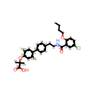 CCCCOc1ccc(Cl)cc1C(=O)NCCc1ccc(-c2cc(F)c(OC(C)(C)C(=O)O)cc2F)cc1